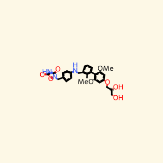 COc1cc(OC[C@@H](O)CO)cc(OC)c1-c1cccc(CNc2ccc(Cn3oc(=O)[nH]c3=O)cc2)c1C